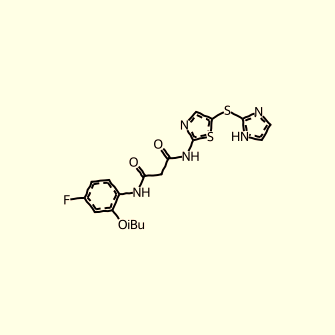 CC(C)COc1cc(F)ccc1NC(=O)CC(=O)Nc1ncc(Sc2ncc[nH]2)s1